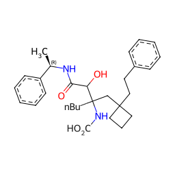 CCCCC(CC1(CCc2ccccc2)CCC1)(NC(=O)O)C(O)C(=O)N[C@H](C)c1ccccc1